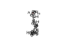 CC(C)(C)OC(=O)NCCONC(=O)c1cn(C2=CC3CN(C2)C(=O)N3OS(=O)(=O)O)nn1